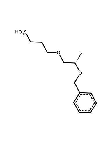 C[C@@H](COCCCS(=O)(=O)O)OCc1ccccc1